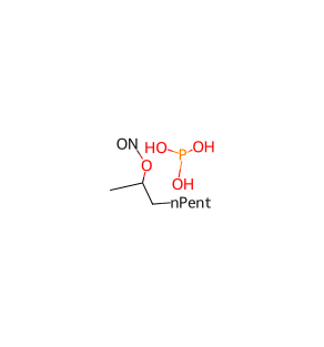 CCCCCCC(C)ON=O.OP(O)O